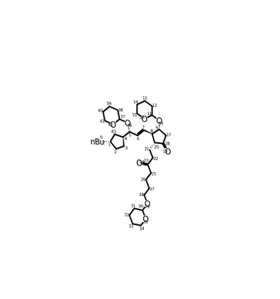 CCCC[C@H]1CC[C@H]([C@@H](/C=C/[C@H]2[C@H](OC3CCCCO3)CC(=O)[C@@H]2CCC(=O)CCCCOC2CCCCO2)OC2CCCCO2)C1